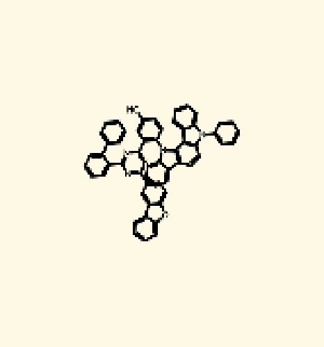 N#Cc1ccc(-n2c3ccccc3c3ccc4c(c5ccccc5n4-c4ccccc4)c32)c(-c2nc(-c3ccc4oc5ccccc5c4c3)nc(-c3ccccc3-c3ccccc3)n2)c1